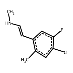 CN/C=C/c1cc(F)c(Cl)cc1C